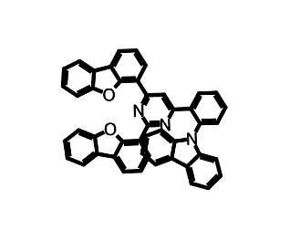 c1ccc(-n2c3ccccc3c3ccccc32)c(-c2cc(-c3cccc4c3oc3ccccc34)nc(-c3cccc4c3oc3ccccc34)n2)c1